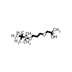 C[C@@H](O)COCCCO[Si](C)(C)C(C)(C)C